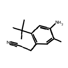 Cc1cc(CC#N)c(C(C)(C)C)cc1N